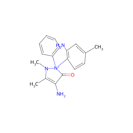 CC1=C(N)C(=O)[N+](c2ccccc2)(c2ccc(C)cc2N)N1C